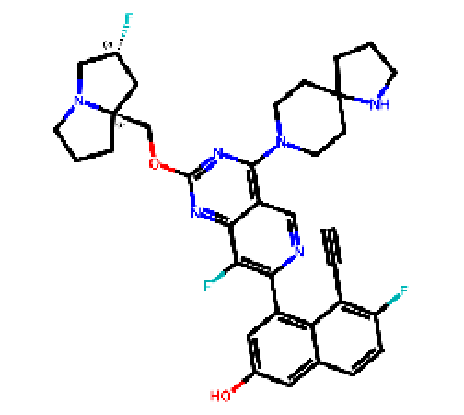 C#Cc1c(F)ccc2cc(O)cc(-c3ncc4c(N5CCC6(CCCN6)CC5)nc(OC[C@@]56CCCN5C[C@H](F)C6)nc4c3F)c12